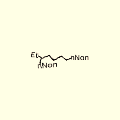 [CH2]CCCCCCCCCCCCC(CC)CCCCCCCC[CH2]